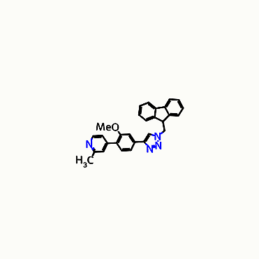 COc1cc(-c2cn(CC3c4ccccc4-c4ccccc43)nn2)ccc1-c1ccnc(C)c1